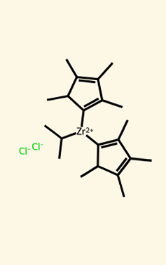 CC1=C(C)C(C)[C]([Zr+2]([C]2=C(C)C(C)=C(C)C2C)[CH](C)C)=C1C.[Cl-].[Cl-]